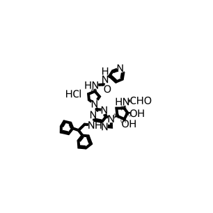 Cl.O=CN[C@H]1C[C@@H](n2cnc3c(NCC(c4ccccc4)c4ccccc4)nc(N4CC[C@@H](NC(=O)Nc5cccnc5)C4)nc32)[C@H](O)[C@@H]1O